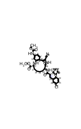 COC(=O)Nc1ccc2c(c1)N[C@@H](C(=O)OC)CCCC[C@H](NC(=O)/C=C/c1cc(Cl)ccc1-n1cnnn1)c1nc-2c(C#N)[nH]1